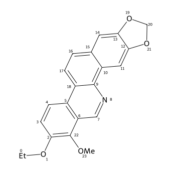 CCOc1ccc2c(cnc3c4cc5c(cc4ccc23)OCO5)c1OC